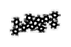 CC1(C)c2cc(N(c3ccccc3)c3ccccc3)ccc2-c2ccc3c(-c4ccccc4)c4c5c(ccc4c(-c4ccccc4)c3c21)-c1ccc(N(c2ccccc2)c2ccccc2)cc1C5(C)C